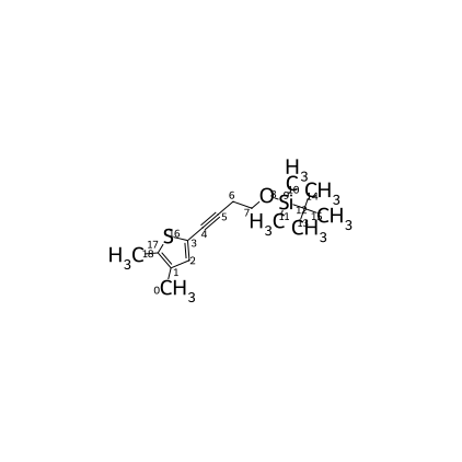 Cc1cc(C#CCCO[Si](C)(C)C(C)(C)C)sc1C